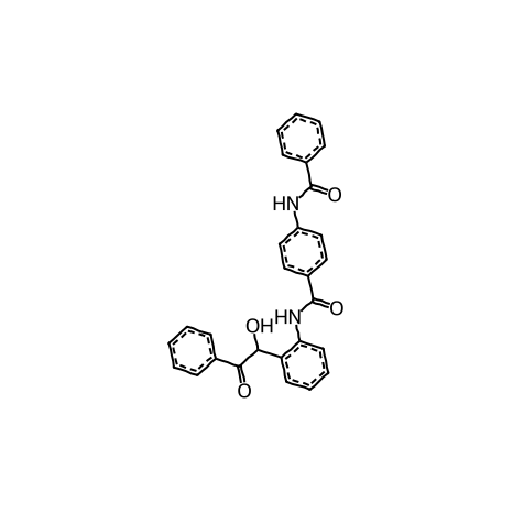 O=C(Nc1ccc(C(=O)Nc2ccccc2C(O)C(=O)c2ccccc2)cc1)c1ccccc1